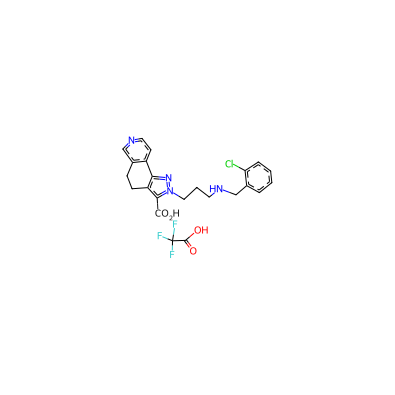 O=C(O)C(F)(F)F.O=C(O)c1c2c(nn1CCCNCc1ccccc1Cl)-c1ccncc1CC2